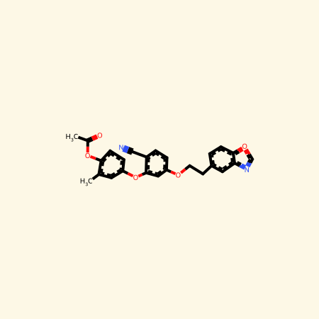 CC(=O)Oc1ccc(Oc2cc(OCCc3ccc4ocnc4c3)ccc2C#N)cc1C